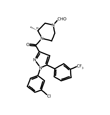 C[C@@H]1CN(C=O)CCN1C(=O)c1cc(-c2cccc(C(F)(F)F)c2)n(-c2cccc(Cl)c2)n1